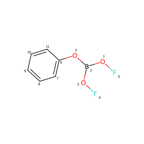 FOB(OF)Oc1ccccc1